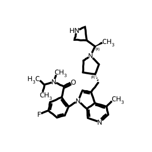 Cc1cncc2c1c(C[C@@H]1CCN([C@H](C)C3CNC3)C1)cn2-c1ccc(F)cc1C(=O)N(C)C(C)C